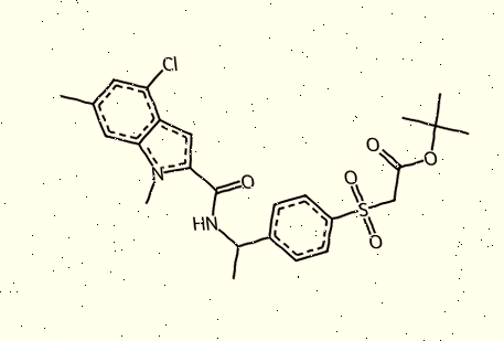 Cc1cc(Cl)c2cc(C(=O)NC(C)c3ccc(S(=O)(=O)CC(=O)OC(C)(C)C)cc3)n(C)c2c1